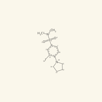 CN(C)S(=O)(=O)c1ccc(N2CCCC2)c(I)c1